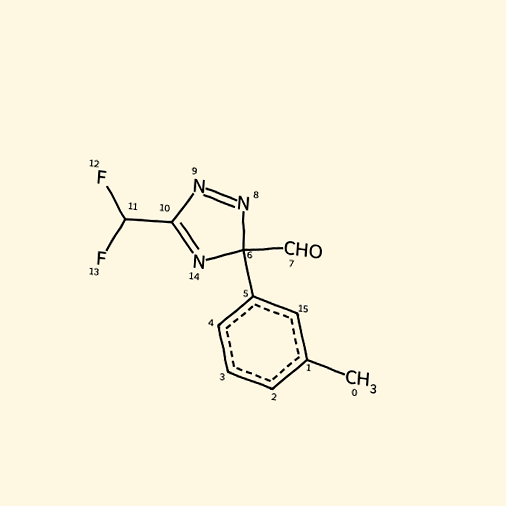 Cc1cccc(C2(C=O)N=NC(C(F)F)=N2)c1